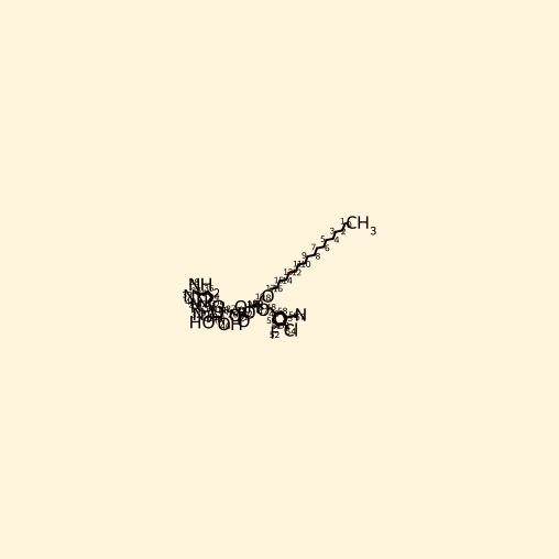 CCCCCCCCCCCCCCCCCCOC[C@H](COP(=O)(O)OC[C@H]1O[C@@](C#N)(c2ccc3c(N)ncnn23)[C@H](O)[C@@H]1O)OCc1cc(F)c(Cl)c(C#N)c1